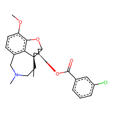 COc1ccc2c3c1OC1C[C@@H](OC(=O)c4cccc(Cl)c4)C(C)[C@@]31CCN(C)C2